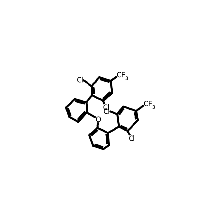 FC(F)(F)c1cc(Cl)c(-c2ccccc2Oc2ccccc2-c2c(Cl)cc(C(F)(F)F)cc2Cl)c(Cl)c1